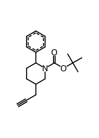 C#CCC1CCC(c2ccccc2)N(C(=O)OC(C)(C)C)C1